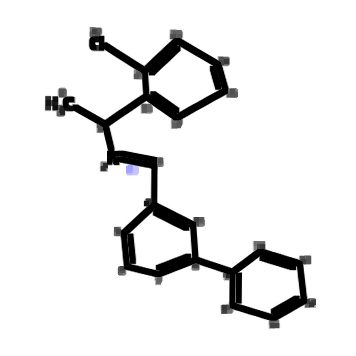 CC(/N=C/c1cccc(-c2ccccc2)c1)c1ccccc1Cl